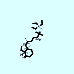 CC[Si](CC)(CC)OC(C)(C)[C@H](F)CC[C@@H](C)[C@H]1CC[C@H]2C(=O)CCC[C@]12C